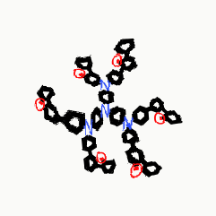 c1ccc2c(c1)oc1ccc(-c3ccc(N(c4ccc(-c5cccc6c5oc5ccccc56)cc4)c4ccc(N(c5ccc(N(c6ccc(-c7ccc8oc9ccccc9c8c7)cc6)c6ccc(-c7cccc8c7oc7ccccc78)cc6)cc5)c5ccc(N(c6ccc(-c7cccc8c7oc7ccccc78)cc6)c6ccc7oc8ccccc8c7c6)cc5)cc4)cc3)cc12